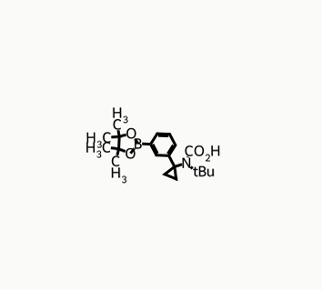 CC(C)(C)N(C(=O)O)C1(c2cccc(B3OC(C)(C)C(C)(C)O3)c2)CC1